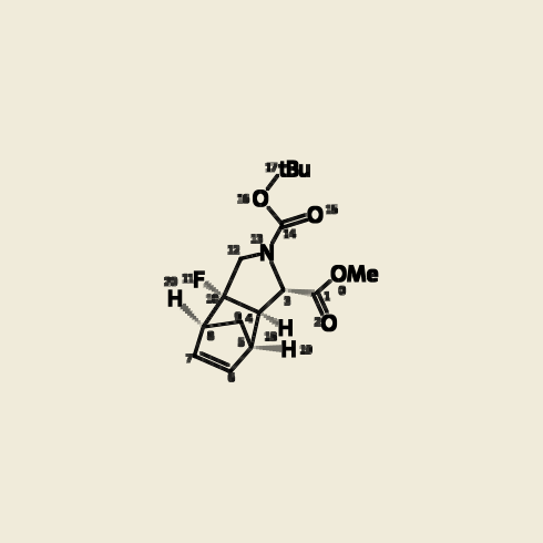 COC(=O)[C@@H]1[C@H]2[C@H]3C=C[C@H](C3)[C@@]2(F)CN1C(=O)OC(C)(C)C